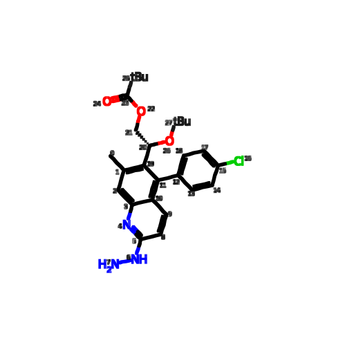 Cc1cc2nc(NN)ccc2c(-c2ccc(Cl)cc2)c1[C@H](COC(=O)C(C)(C)C)OC(C)(C)C